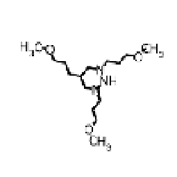 COCCCC1CN(CCCOC)NN(CCCOC)C1